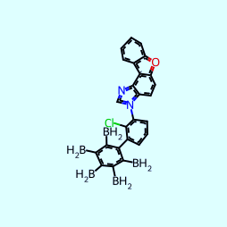 Bc1c(B)c(B)c(-c2cccc(-n3cnc4c5c(ccc43)oc3ccccc35)c2Cl)c(B)c1B